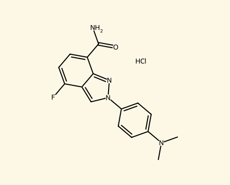 CN(C)c1ccc(-n2cc3c(F)ccc(C(N)=O)c3n2)cc1.Cl